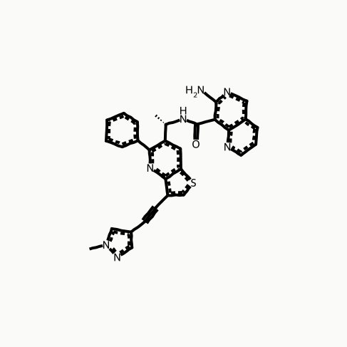 C[C@H](NC(=O)c1c(N)ncc2cccnc12)c1cc2scc(C#Cc3cnn(C)c3)c2nc1-c1ccccc1